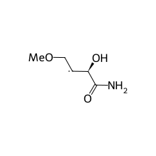 COC[CH][C@@H](O)C(N)=O